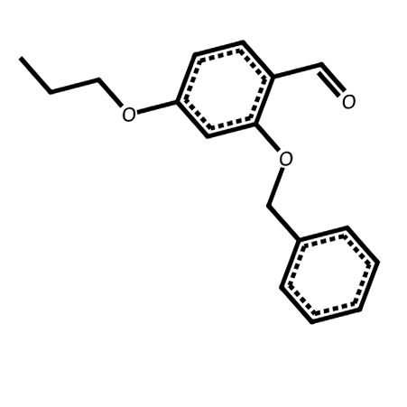 CCCOc1ccc(C=O)c(OCc2ccccc2)c1